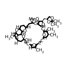 C=C1C[C@@H]2CCC3(O)C[C@H]4OC5C(O3)[C@H]3O[C@H](CC[C@@H]3O[C@H]5C4C)CC(=O)C[C@@H]3[C@@H](OC)[C@@H](C[C@H]4COC(C)(C)O4)O[C@H]3C[C@H]3O[C@@H](CCC1O2)C[C@@H](C)C3=C